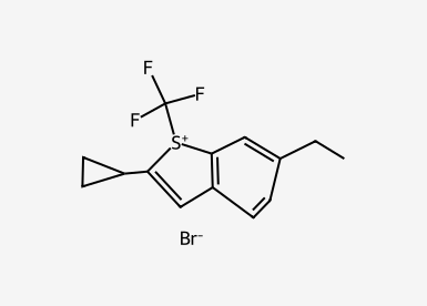 CCc1ccc2cc(C3CC3)[s+](C(F)(F)F)c2c1.[Br-]